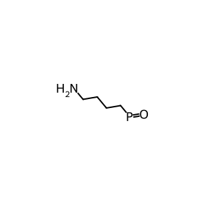 NCCCCP=O